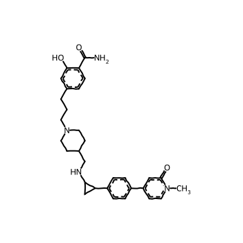 Cn1ccc(-c2ccc(C3CC3NCC3CCN(CCCc4ccc(C(N)=O)c(O)c4)CC3)cc2)cc1=O